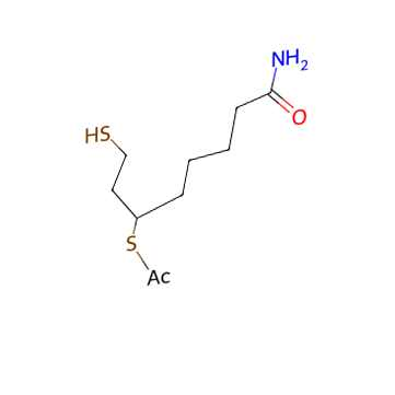 CC(=O)SC(CCS)CCCCC(N)=O